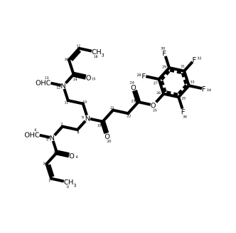 C/C=C\C(=O)N(C=O)CCN(CCN(C=O)C(=O)/C=C\C)C(=O)CCC(=O)Oc1c(F)c(F)c(F)c(F)c1F